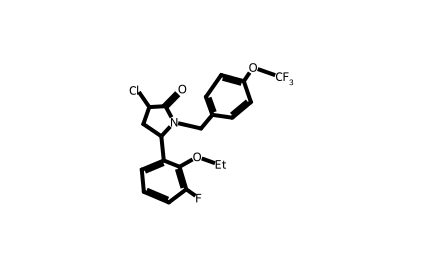 CCOc1c(F)cccc1C1CC(Cl)C(=O)N1Cc1ccc(OC(F)(F)F)cc1